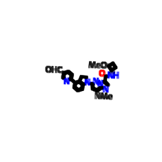 CNc1cc(N2CCc3c(-c4ccc(C=O)cn4)cccc32)nn2c(C(=O)N[C@@H]3CC[C@H]3OC)cnc12